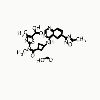 Cc1nc(-c2ccc3ncnc(NC4CC(C(=O)N(C)c5nc(C)c(C(=O)O)s5)C4)c3c2)no1.O=CO